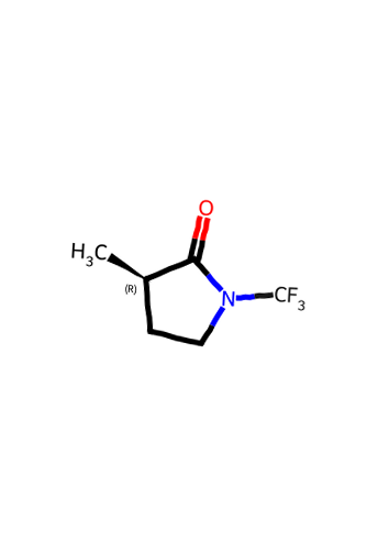 C[C@@H]1CCN(C(F)(F)F)C1=O